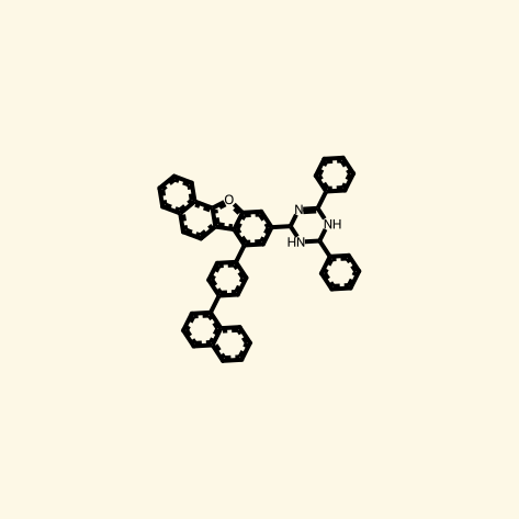 c1ccc(C2=NC(c3cc(-c4ccc(-c5cccc6ccccc56)cc4)c4c(c3)oc3c5ccccc5ccc34)NC(c3ccccc3)N2)cc1